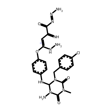 CN1C(=O)N(N)C(Nc2ccc(O/C(=C/C(=N)C(=O)N=NN)NN)cc2)N(Cc2ccc(Cl)cc2)C1=O